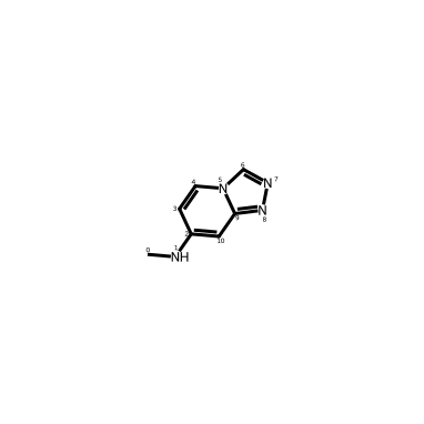 CNc1ccn2cnnc2c1